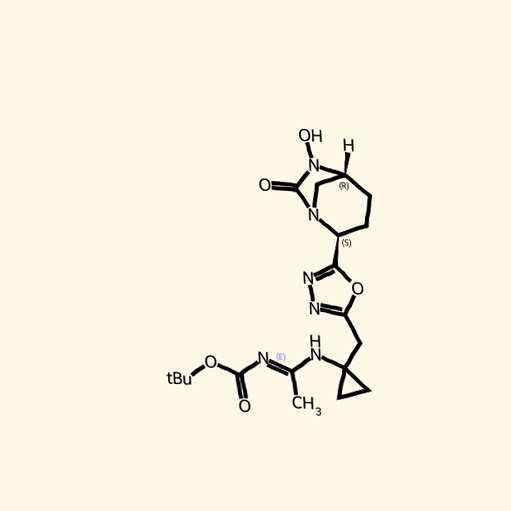 C/C(=N\C(=O)OC(C)(C)C)NC1(Cc2nnc([C@@H]3CC[C@@H]4CN3C(=O)N4O)o2)CC1